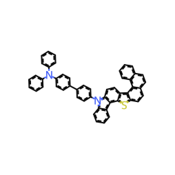 c1ccc(N(c2ccccc2)c2ccc(-c3ccc(-n4c5ccccc5c5c6sc7ccc8ccc9ccccc9c8c7c6ccc54)cc3)cc2)cc1